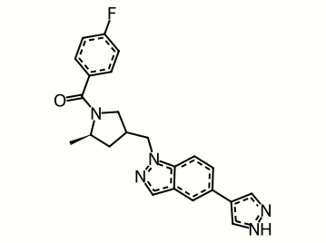 C[C@@H]1CC(Cn2ncc3cc(-c4cn[nH]c4)ccc32)CN1C(=O)c1ccc(F)cc1